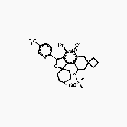 CC(C)c1c2c(c3c([n+]1[O-])CC1(CCC1)CC3O[Si](C)(C)C(C)(C)C)C1(CCOCC1)O[C@@H]2c1ccc(C(F)(F)F)cn1